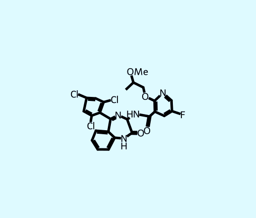 COC(C)COc1ncc(F)cc1C(=O)NC1N=C(c2c(Cl)cc(Cl)cc2Cl)c2ccccc2NC1=O